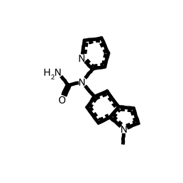 Cn1ccc2cc(N(C(N)=O)c3ccccn3)ccc21